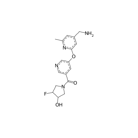 Cc1cc(CN)cc(Oc2cncc(C(=O)N3CC(O)C(F)C3)c2)n1